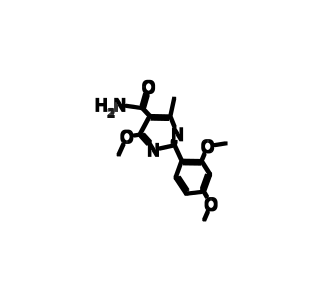 COc1ccc(-c2nc(C)c(C(N)=O)c(OC)n2)c(OC)c1